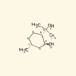 C[C@@H]1CC[C@H](C(C)(C)O)[C@@H](O)C1